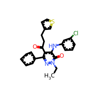 CCn1nc(-c2ccccc2)c(C(=O)CCc2ccsc2)c(Nc2cccc(Cl)c2)c1=O